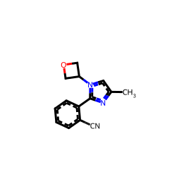 Cc1cn(C2COC2)c(-c2ccccc2C#N)n1